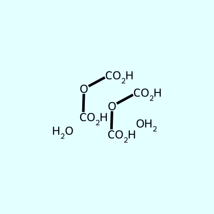 O.O.O=C(O)OC(=O)O.O=C(O)OC(=O)O